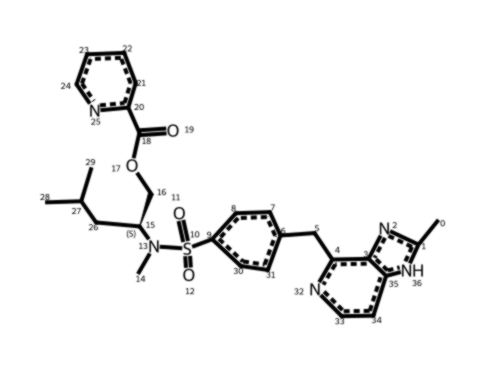 Cc1nc2c(Cc3ccc(S(=O)(=O)N(C)[C@H](COC(=O)c4ccccn4)CC(C)C)cc3)nccc2[nH]1